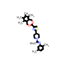 CO/C(=N\c1cc(C)ccc1C)N1CCC(c2nc(C3OCc4c(C)c(C)c(C)c(C)c4CO3)cs2)CC1